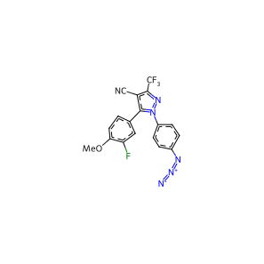 COc1ccc(-c2c(C#N)c(C(F)(F)F)nn2-c2ccc(N=[N+]=[N-])cc2)cc1F